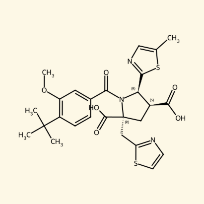 COc1cc(C(=O)N2[C@@H](c3ncc(C)s3)[C@@H](C(=O)O)C[C@@]2(Cc2nccs2)C(=O)O)ccc1C(C)(C)C